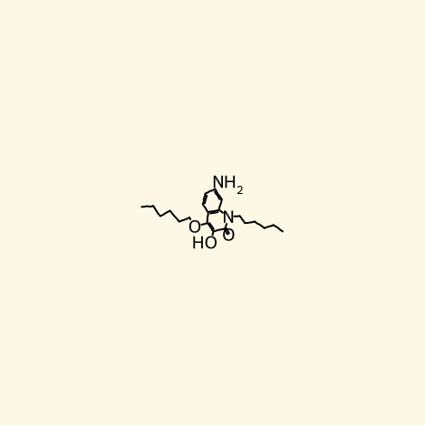 CCCCCCOc1c(O)c(=O)n(CCCCCC)c2cc(N)ccc12